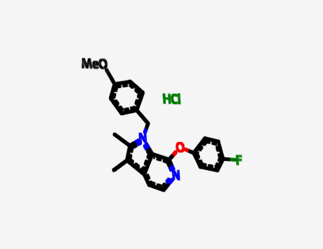 COc1ccc(Cn2c(C)c(C)c3ccnc(Oc4ccc(F)cc4)c32)cc1.Cl